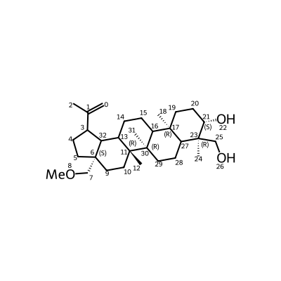 C=C(C)C1CC[C@]2(COC)CC[C@]3(C)C(CCC4[C@@]5(C)CC[C@H](O)[C@@](C)(CO)C5CC[C@]43C)C12